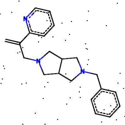 C=C(CN1CC2CN(Cc3ccccc3)CC2C1)c1ccccn1